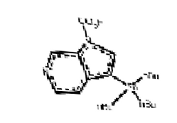 CCC[CH2][Sn]([CH2]CCC)([CH2]CCC)[c]1cn(C(=O)O)c2cnccc12